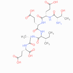 CC[C@H](C)[C@H](NC(=O)[C@H](CCC(=O)O)NC(=O)[C@H](CCC(=O)O)NC(=O)[C@@H](N)[C@@H](C)O)C(=O)N[C@@H](C)C(=O)N[C@@H](CCC(=O)O)C(=O)O